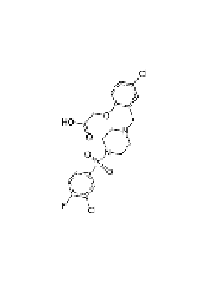 O=C(O)COc1ccc(Cl)cc1CN1CCN(S(=O)(=O)c2ccc(F)c(Cl)c2)CC1